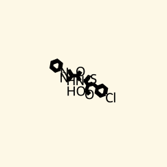 O=C(Nc1csc(-c2ccc(Cl)cc2)c1C(=O)O)c1cnn(-c2ccccc2)c1